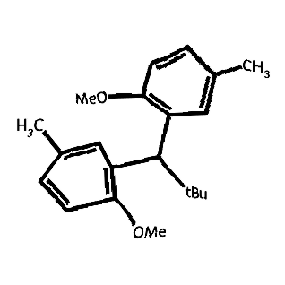 COc1ccc(C)cc1C(c1cc(C)ccc1OC)C(C)(C)C